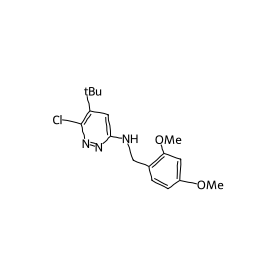 COc1ccc(CNc2cc(C(C)(C)C)c(Cl)nn2)c(OC)c1